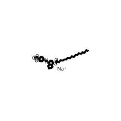 CCCCCCCCCCCCCCCCCC(=O)Oc1ccc(N=Nc2ccc(S(=O)(=O)[O-])cc2)c2ccccc12.[Na+]